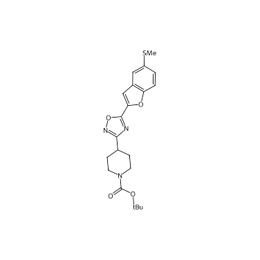 CSc1ccc2oc(-c3nc(C4CCN(C(=O)OC(C)(C)C)CC4)no3)cc2c1